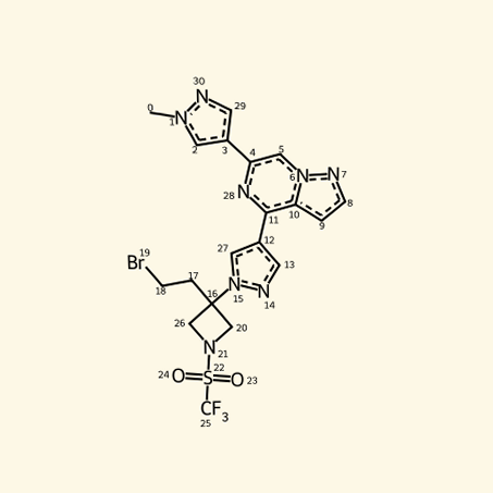 Cn1cc(-c2cn3nccc3c(-c3cnn(C4(CCBr)CN(S(=O)(=O)C(F)(F)F)C4)c3)n2)cn1